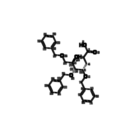 O=C(O)CC[C@H](OCc1ccccc1)[C@H](OCc1ccccc1)[C@H](O)COCc1ccccc1